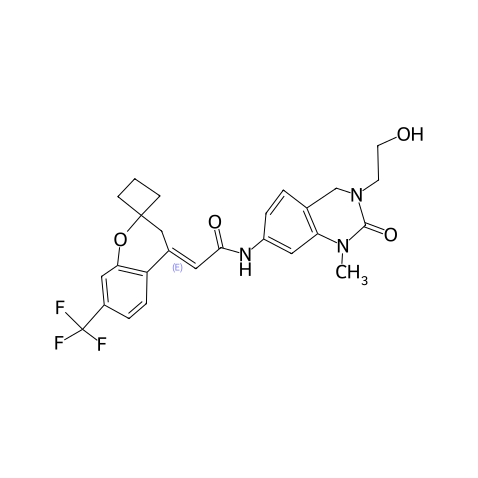 CN1C(=O)N(CCO)Cc2ccc(NC(=O)/C=C3\CC4(CCC4)Oc4cc(C(F)(F)F)ccc43)cc21